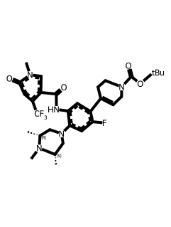 C[C@@H]1CN(c2cc(F)c(C3=CCN(C(=O)OC(C)(C)C)CC3)cc2NC(=O)c2cn(C)c(=O)cc2C(F)(F)F)C[C@H](C)N1C